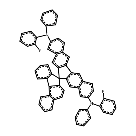 Fc1ccccc1N(c1ccccc1)c1ccc2cc3c(cc2c1)C1(c2cc4cc(N(c5ccccc5)c5ccccc5F)ccc4cc2-3)c2ccccc2-c2c1ccc1ccccc21